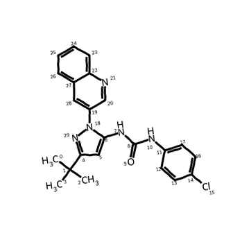 CC(C)(C)c1cc(NC(=O)Nc2ccc(Cl)cc2)n(-c2cnc3ccccc3c2)n1